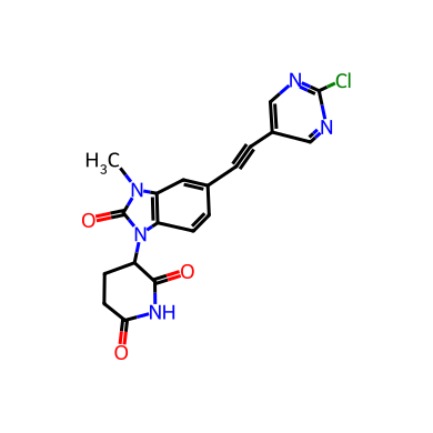 Cn1c(=O)n(C2CCC(=O)NC2=O)c2ccc(C#Cc3cnc(Cl)nc3)cc21